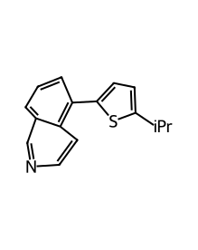 CC(C)c1ccc(-c2cccc3cnccc23)s1